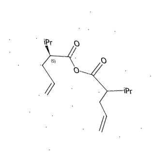 C=CCC(C(=O)OC(=O)[C@@H](CC=C)C(C)C)C(C)C